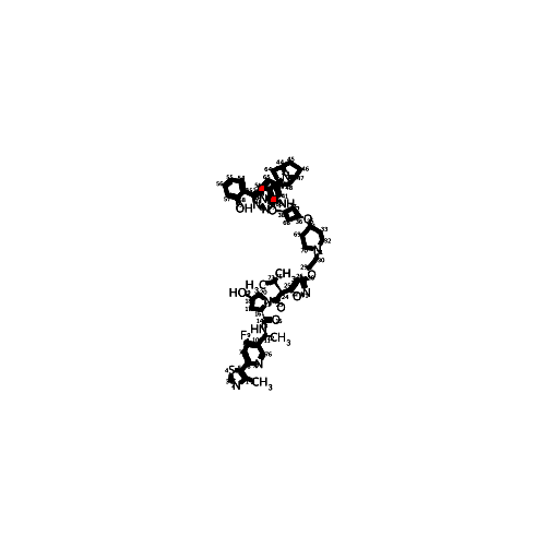 Cc1ncsc1-c1cc(F)c([C@@H](C)NC(=O)[C@@H]2C[C@@H](O)CN2C(=O)[C@H](c2cc(OCCN3CCC(O[C@H]4C[C@H](Oc5cc(N6C7CCC6CN(c6cc(-c8ccccc8O)nnc6N)C7)ccn5)C4)CC3)no2)C(C)C)cn1